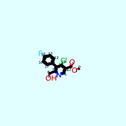 COC(=O)c1cnc(CO)c(-c2ccc(F)cc2)c1Cl